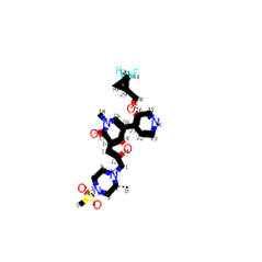 C[C@@H]1CN(S(C)(=O)=O)CCN1Cc1cc2c(=O)n(C)cc(-c3ccncc3OCC3CC3(F)F)c2o1